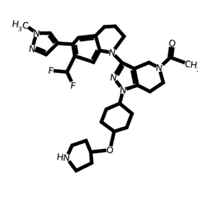 CC(=O)N1CCc2c(c(N3CCCc4cc(-c5cnn(C)c5)c(C(F)F)cc43)nn2C2CCC(OC3CCNCC3)CC2)C1